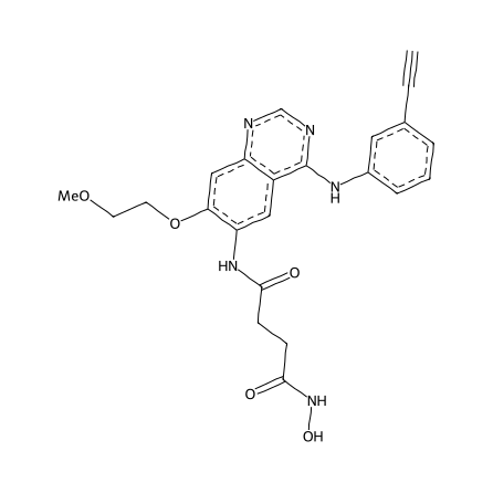 C#Cc1cccc(Nc2ncnc3cc(OCCOC)c(NC(=O)CCC(=O)NO)cc23)c1